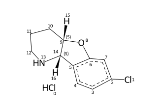 Cl.Clc1ccc2c(c1)O[C@H]1CCCN[C@@H]21